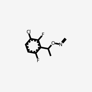 C=NOC(C)c1c(F)ccc(Cl)c1F